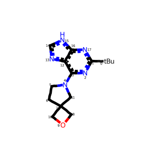 CC(C)(C)c1nc(N2CCC3(COC3)C2)c2nc[nH]c2n1